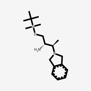 C[C@H]([C@H](N)CO[Si](C)(C)C(C)(C)C)N1Cc2ccccc2C1